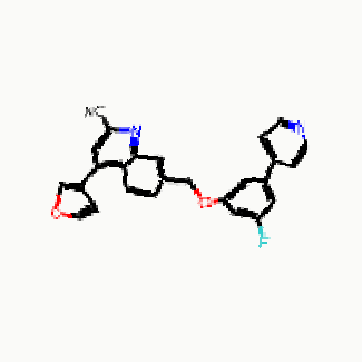 N#Cc1cc(-c2ccoc2)c2ccc(COc3cc(F)cc(-c4ccncc4)c3)cc2n1